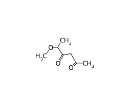 COC(C)C(=O)CC(C)=O